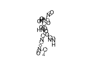 O=C(NS(=O)(=O)c1cc2c(c([N+](=O)[O-])c1)N[C@@H](CN1CCOCC1)CCO2)c1ccc(N2CCC3(CC2)CC(N2CCOC[C@@H]2c2ccccc2C2CC2)C3)cc1Oc1cnc2[nH]ccc2c1